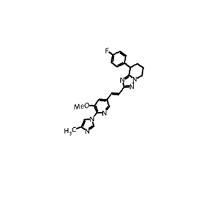 COc1cc(C=Cc2nc3n(n2)CCCC3c2ccc(F)cc2)cnc1-n1cnc(C)c1